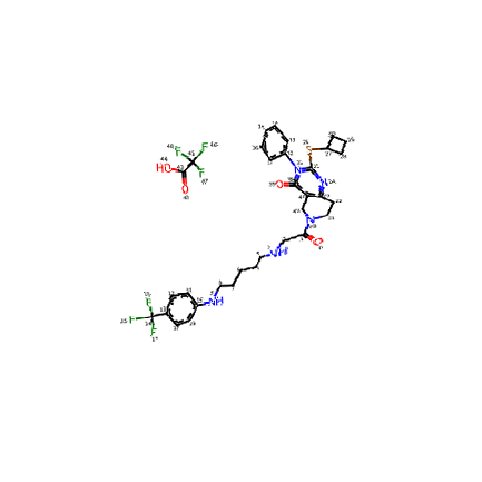 O=C(CNCCCCCNc1ccc(C(F)(F)F)cc1)N1CCc2nc(SC3CCC3)n(-c3ccccc3)c(=O)c2C1.O=C(O)C(F)(F)F